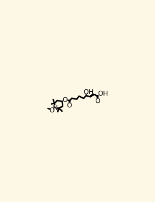 CON1C(C)(C)CC(OC(=O)CCCCC(O)/C=C/C(=O)O)CC1(C)C